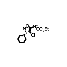 CCOC(=O)[N-]c1on[n+](N2CCCCC2)c1Cl